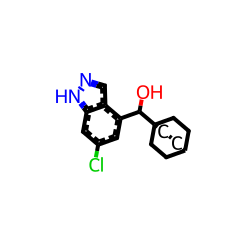 OC(c1cc(Cl)cc2[nH]ncc12)C12CCC(CC1)CC2